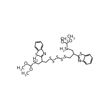 COC(OC)[SiH2]CC(CSSSSSCC(C[SiH2]C(OC)OC)c1nc2ccccc2s1)c1nc2ccccc2s1